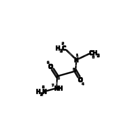 CN(C)C(=O)C(=O)NN